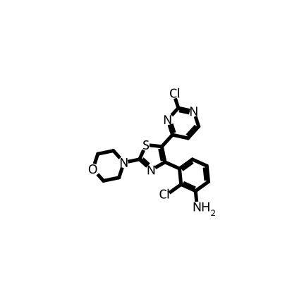 Nc1cccc(-c2nc(N3CCOCC3)sc2-c2ccnc(Cl)n2)c1Cl